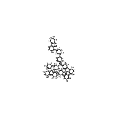 c1ccc(C2(c3ccc(N(c4ccc(-c5cccc(-c6cccc7c6sc6ccccc67)c5)cc4)c4ccc5c(c4)C(c4ccccc4)(c4ccccc4)c4ccccc4-5)cc3)c3ccccc3-c3ccccc32)cc1